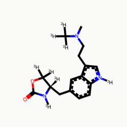 [2H]N1C(=O)OC([2H])([2H])[C@]1([2H])Cc1ccc2c(c1)c(CCN(C)C([2H])([2H])[2H])cn2[2H]